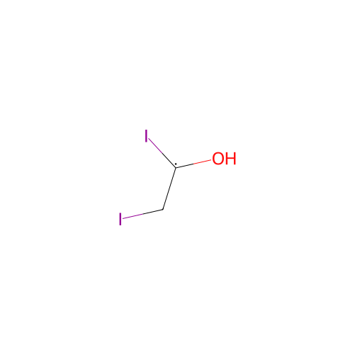 O[C](I)CI